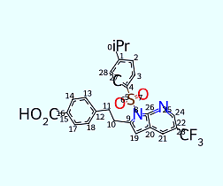 CC(C)c1ccc(S(=O)(=O)n2c(CCc3ccc(C(=O)O)cc3)cc3cc(C(F)(F)F)cnc32)cc1